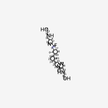 Cc1c(/C=C(\F)c2ccc(CNCCO)cn2)cccc1-c1cccc(-c2ccn3c(=O)c(CNCCO)cnc3c2)c1C